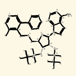 Cc1cncc(-c2ccccc2)c1CSC[C@H]1O[C@@H](n2ccc3c(N)ncnc32)[C@H](O[Si](C)(C)C(C)(C)C)[C@@H]1O[Si](C)(C)C(C)(C)C